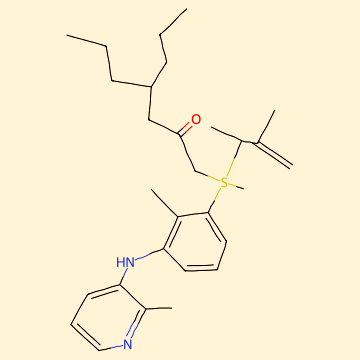 C=C(C)C(C)S(C)(CC(=O)CC(CCC)CCC)c1cccc(Nc2cccnc2C)c1C